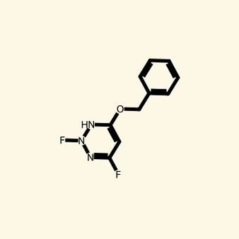 FC1=NN(F)NC(OCc2ccccc2)=C1